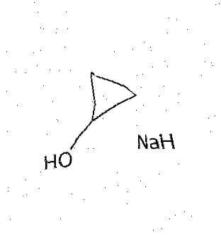 OC1CC1.[NaH]